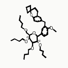 CCCCOCC1OC(c2ccc(OC)c(Cc3ccc4c(c3)CCC3(CCC3)O4)c2)[C@H](OCCCC)C(OCCCC)[C@@H]1OCCCC